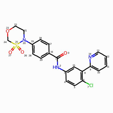 O=C(Nc1ccc(Cl)c(-c2ccccn2)c1)c1ccc(N2CCOCS2(=O)=O)cc1